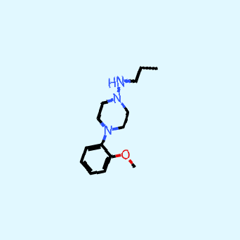 CCCNN1CCN(c2ccccc2OC)CC1